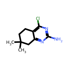 CC1(C)CCc2c(Cl)nc(N)nc2C1